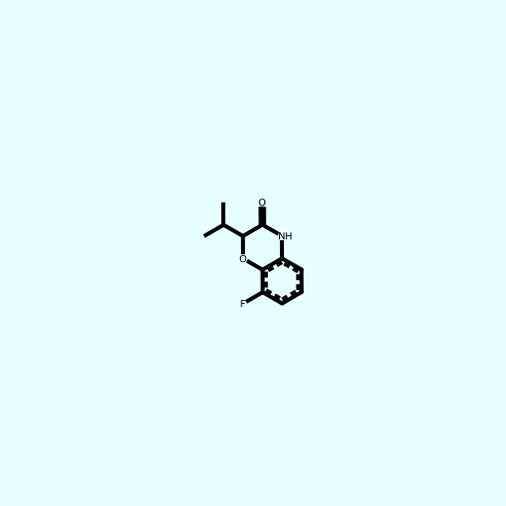 CC(C)C1Oc2c(F)cccc2NC1=O